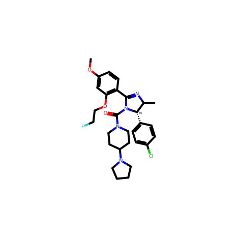 COc1ccc(C2=NC(C)[C@H](c3ccc(Cl)cc3)N2C(=O)N2CCC(N3CCCC3)CC2)c(OCCF)c1